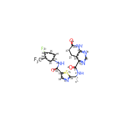 C[C@@H](NC(=O)c1ncnc2c1CCC(=O)N2)c1ncc(C(=O)Nc2ccc(F)c(C(F)(F)F)c2)s1